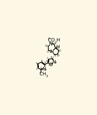 Cc1cccc(-c2cc([C@H]3CC[C@H]4CN(C(=O)O)CCN43)no2)n1